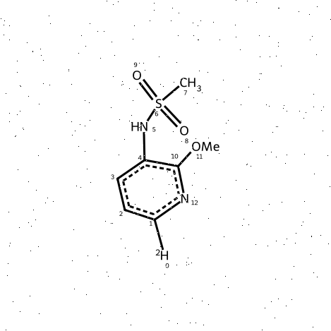 [2H]c1ccc(NS(C)(=O)=O)c(OC)n1